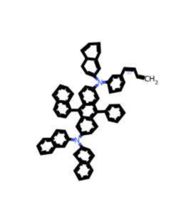 C=C/C=C\c1cccc(N(C2=CCC3C=CC=CC3=C2)c2ccc3c(-c4cccc5ccccc45)c4cc(N(c5ccc6ccccc6c5)c5ccc6ccccc6c5)ccc4c(-c4ccccc4)c3c2)c1